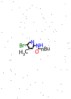 CCCCC(=O)Nc1cc(C)c(Br)cn1